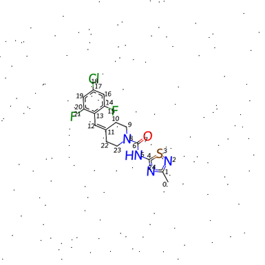 Cc1nsc(NC(=O)N2CCC(=Cc3c(F)cc(Cl)cc3F)CC2)n1